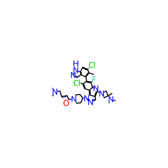 Cc1c(Cl)cc2[nH]ncc2c1-c1c(Cl)cc2c(nc(N3CC(C)(N(C)C)C3)c3cnn(C4CCN(C(=O)/C=C/CN(C)C)CC4)c32)c1F